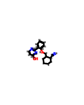 N#CC1CCCCC1COc1ccccc1-c1nccc(O)n1